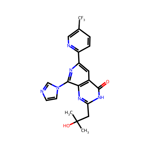 CC(C)(O)Cc1nc2c(-n3ccnc3)nc(-c3ccc(C(F)(F)F)cn3)cc2c(=O)[nH]1